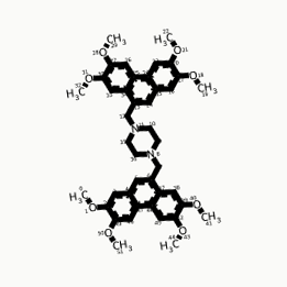 COc1cc2cc(CN3CCN(Cc4cc5cc(OC)c(OC)cc5c5cc(OC)c(OC)cc45)CC3)c3cc(OC)c(OC)cc3c2cc1OC